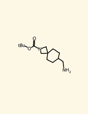 CC(C)(C)OC(=O)N1CC2(CCC(CN)CC2)C1